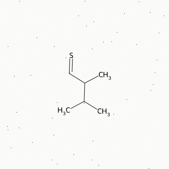 C[C](C)C(C)C=S